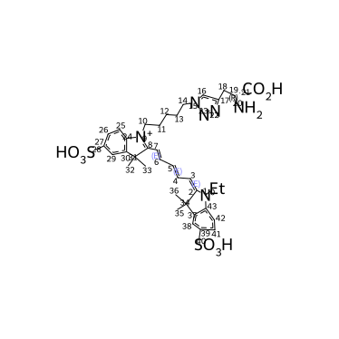 CCN1/C(=C/C=C/C=C/C2=[N+](CCCCCn3cc(C[C@@H](N)C(=O)O)nn3)c3ccc(S(=O)(=O)O)cc3C2(C)C)C(C)(C)c2cc(S(=O)(=O)O)ccc21